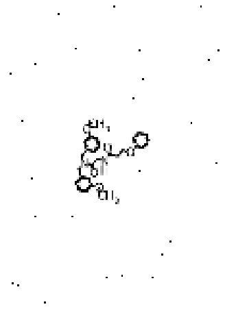 COc1cccc(CN(Cc2cccc(OC)c2)C(=O)CNC(=O)CCOc2ccccc2)c1